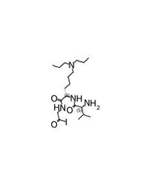 CCCN(CCC)CCCC[C@H](NC(=O)[C@@H](N)C(C)C)C(=O)NCC(=O)I